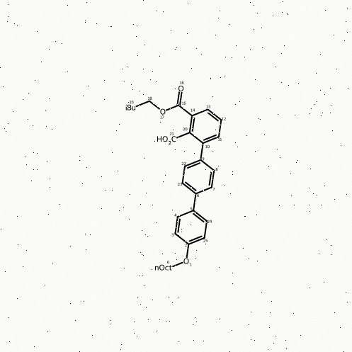 CCCCCCCCOc1ccc(-c2ccc(-c3cccc(C(=O)OCC(C)CC)c3C(=O)O)cc2)cc1